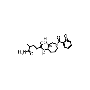 CC(C[CH]C(=O)NC1CCCN(C(=O)c2cccc[n+]2[O-])C[C@@H]1O)C(N)=O